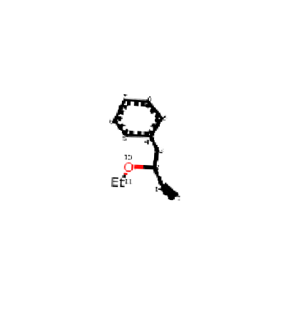 C#CC(Cc1ccccc1)OCC